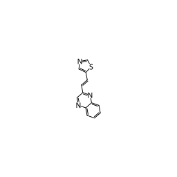 C(=Cc1cncs1)c1cnc2ccccc2n1